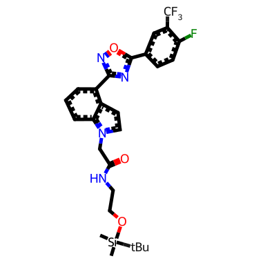 CC(C)(C)[Si](C)(C)OCCNC(=O)Cn1ccc2c(-c3noc(-c4ccc(F)c(C(F)(F)F)c4)n3)cccc21